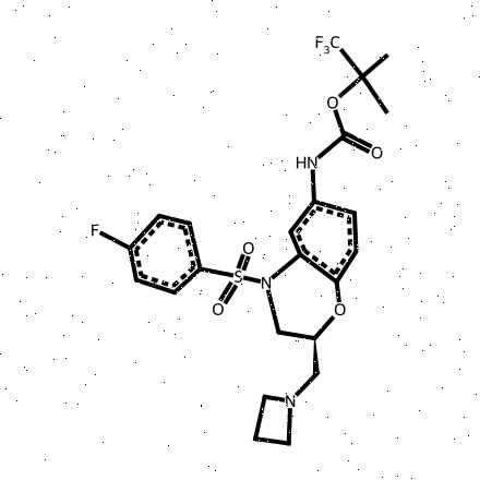 CC(C)(OC(=O)Nc1ccc2c(c1)N(S(=O)(=O)c1ccc(F)cc1)C[C@H](CN1CCC1)O2)C(F)(F)F